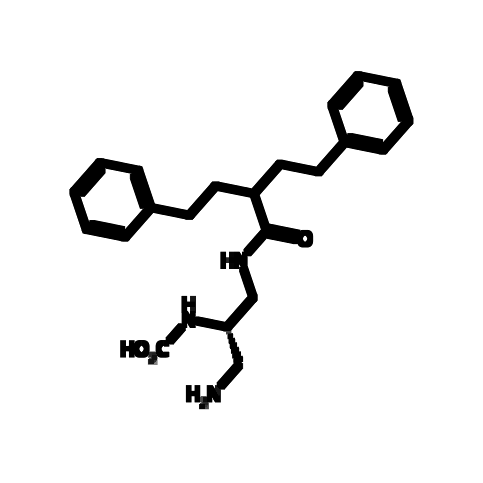 NC[C@@H](CNC(=O)C(CCc1ccccc1)CCc1ccccc1)NC(=O)O